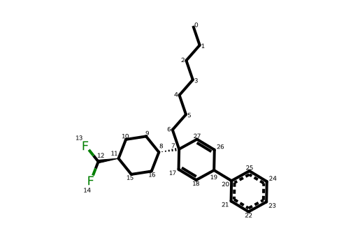 CCCCCCCC1([C@H]2CC[C@H](C(F)F)CC2)C=CC(c2ccccc2)C=C1